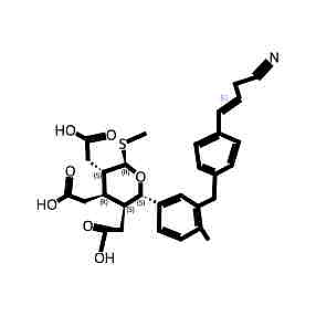 CS[C@H]1O[C@H](c2ccc(C)c(Cc3ccc(/C=C/CC#N)cc3)c2)[C@@H](CC(=O)O)[C@@H](CC(=O)O)[C@@H]1CC(=O)O